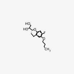 CCCCOc1cc2c(cc1F)O[C@@H]([C@@H](O)CO)CC2